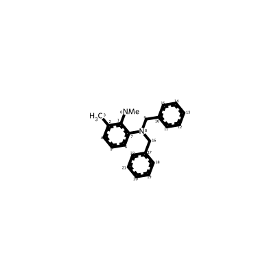 CNc1c(C)cccc1N(Cc1ccccc1)Cc1ccccc1